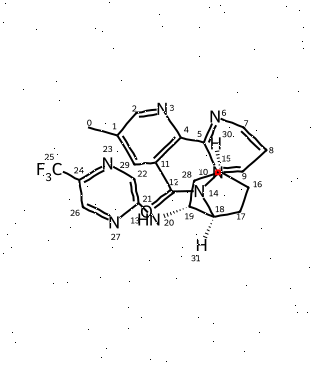 Cc1cnc(-c2ncccn2)c(C(=O)N2[C@@H]3CC[C@H]2[C@H](Nc2cnc(C(F)(F)F)cn2)C3)c1